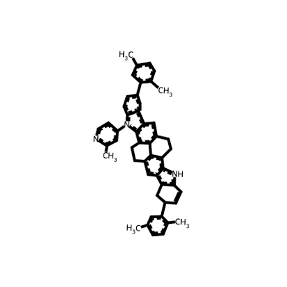 Cc1ccc(C)c(-c2ccc3c(c2)c2cc4c5c(c2n3-c2ccnc(C)c2)CCc2cc3c6c([nH]c3c(c2-5)CC4)C=CC(c2cc(C)ccc2C)C6)c1